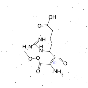 COOC(=O)/C(N)=C(/C=O)C(CCCC(=O)O)NC(=N)N